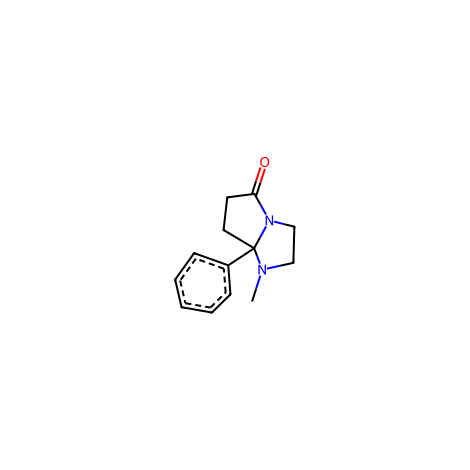 CN1CCN2C(=O)CCC12c1ccccc1